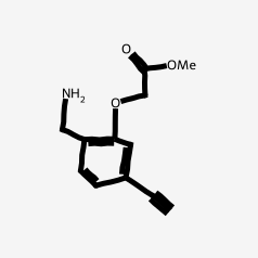 C#Cc1ccc(CN)c(OCC(=O)OC)c1